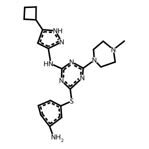 CN1CCN(c2nc(Nc3cc(C4CCC4)[nH]n3)nc(Sc3cccc(N)c3)n2)CC1